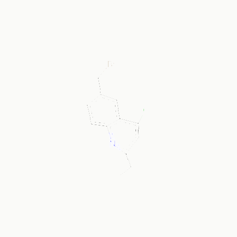 CCc1cc(Cl)c2cc(CBr)ccc2n1